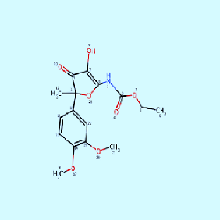 CCOC(=O)NC1=C(O)C(=O)C(C)(c2ccc(OC)c(OC)c2)O1